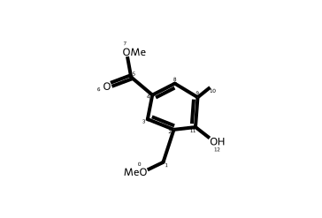 COCc1cc(C(=O)OC)cc(C)c1O